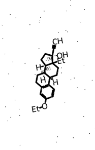 C#C[C@]1(O)CC[C@H]2[C@@H]3CCc4cc(OCC)ccc4[C@H]3CCC21CC